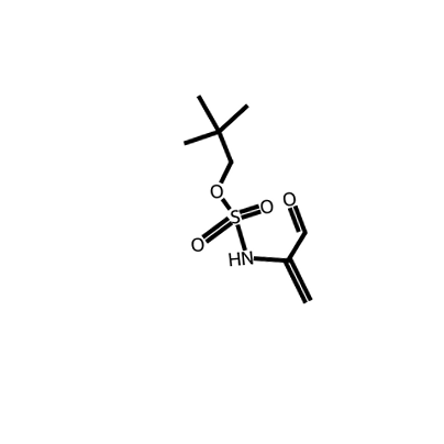 C=C(C=O)NS(=O)(=O)OCC(C)(C)C